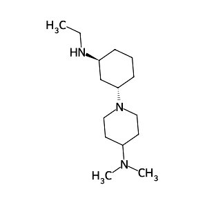 CCN[C@H]1CCC[C@H](N2CCC(N(C)C)CC2)C1